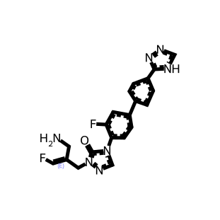 NC/C(=C\F)Cn1ncn(-c2ccc(-c3ccc(-c4nnc[nH]4)cc3)cc2F)c1=O